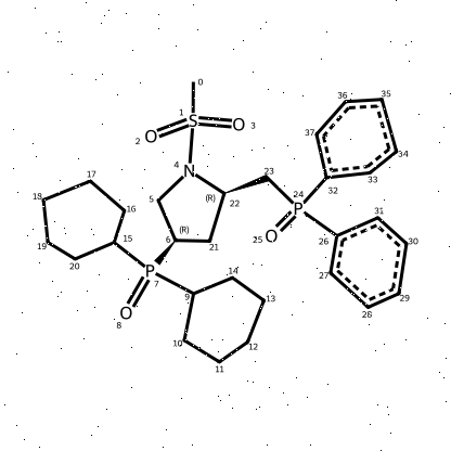 CS(=O)(=O)N1C[C@H](P(=O)(C2CCCCC2)C2CCCCC2)C[C@@H]1CP(=O)(c1ccccc1)c1ccccc1